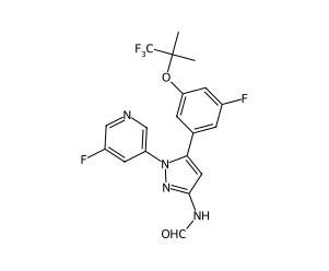 CC(C)(Oc1cc(F)cc(-c2cc(NC=O)nn2-c2cncc(F)c2)c1)C(F)(F)F